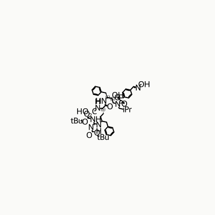 CC(C)CN(C[C@H](O)[C@H](Cc1ccccc1)NC(=O)[C@H](CCC(Cc1ccccc1)NC(=NC(=O)OC(C)(C)C)NC(=O)OC(C)(C)C)NC(=O)O)S(=O)(=O)c1ccc(C=NO)cc1